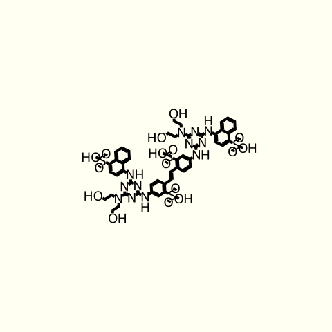 O=S(=O)(O)c1cc(Nc2nc(Nc3ccc(S(=O)(=O)O)c4ccccc34)nc(N(CCO)CCO)n2)ccc1C=Cc1ccc(Nc2nc(Nc3ccc(S(=O)(=O)O)c4ccccc34)nc(N(CCO)CCO)n2)cc1S(=O)(=O)O